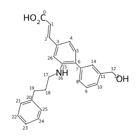 O=C(O)/C=C/c1ccc(-c2cccc(CO)c2)c(NCCCc2ccccc2)c1